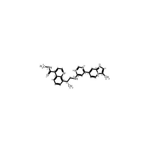 CNC(=O)c1ccnc2c([C@@H](C)CNc3cc(-c4ccn5c(C)cnc5c4)ncn3)cccc12